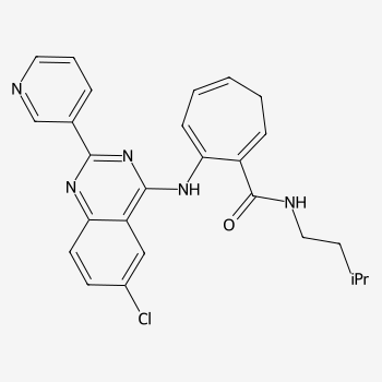 CC(C)CCNC(=O)C1=CCC=CC=C1Nc1nc(-c2cccnc2)nc2ccc(Cl)cc12